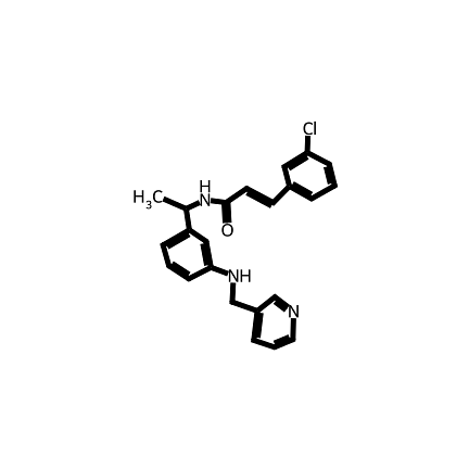 CC(NC(=O)C=Cc1cccc(Cl)c1)c1cccc(NCc2cccnc2)c1